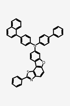 c1ccc(-c2ccc(N(c3ccc(-c4cccc5ccccc45)cc3)c3ccc4c(c3)oc3ccc5nc(-c6ccccc6)sc5c34)cc2)cc1